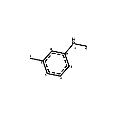 CPc1cccc(C)c1